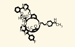 CNC1CCN(CCN2Cc3ccc(OCc4ccnc(-c5ccccc5OC)n4)c(c3)C[C@H](C(=O)O)Oc3ncnc4sc(-c5ccc(F)cc5)c(c34)-c3ccc(c(Cl)c3C)C2)CC1